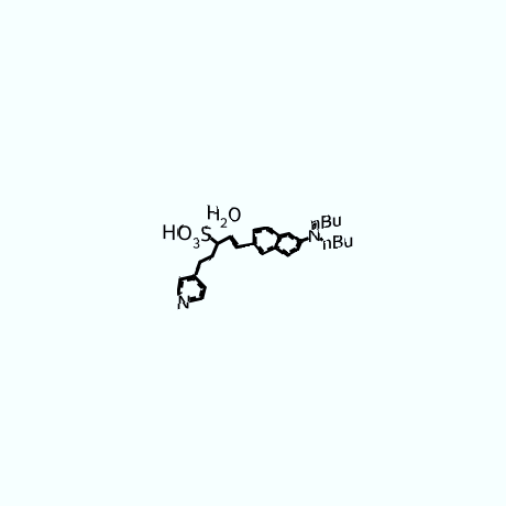 CCCCN(CCCC)c1ccc2cc(C=CC(CCc3ccncc3)S(=O)(=O)O)ccc2c1.O